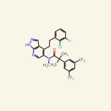 CN(C(=O)C(C)(C)c1cc(C(F)(F)F)cc(C(F)(F)F)c1)c1cnc2[nH]ncc2c1CCc1cccc(F)c1Cl